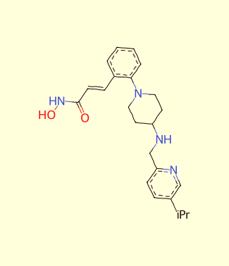 CC(C)c1ccc(CNC2CCN(c3ccccc3/C=C/C(=O)NO)CC2)nc1